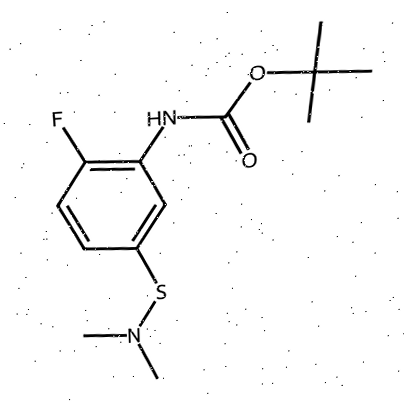 CN(C)Sc1ccc(F)c(NC(=O)OC(C)(C)C)c1